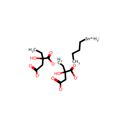 CCC(O)(CC(=O)[O-])C(=O)[O-].CCC(O)(CC(=O)[O-])C(=O)[O-].CCC[CH2][SnH3+4]